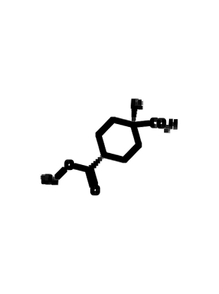 CC[C@]1(C(=O)O)CC[C@H](C(=O)OC(C)(C)C)CC1